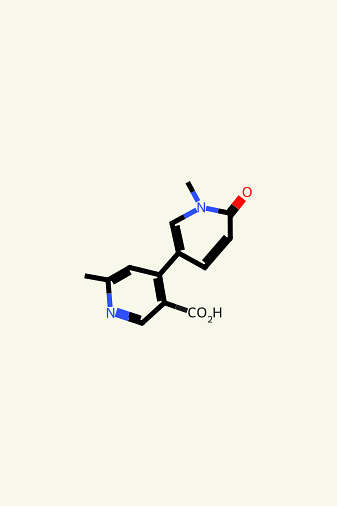 Cc1cc(-c2ccc(=O)n(C)c2)c(C(=O)O)cn1